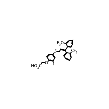 O=C(O)COc1ccc(SCC=C(c2ccccc2C(F)(F)F)c2ccccc2C(F)(F)F)cc1I